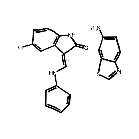 Nc1ccc2ncsc2c1.O=C1Nc2ccc(Cl)cc2/C1=C\Nc1ccccc1